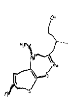 C[C@@H](CO)C1=NSc2sc(Cl)cc2N1N